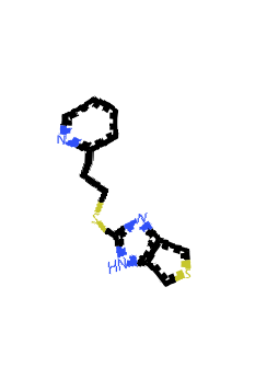 c1ccc(CCSc2nc3cscc3[nH]2)nc1